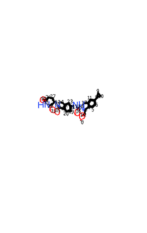 COCC1c2ccc(C3CC3)cc2CN1C(=O)Nc1ccc2c(c1)CN(C1CCC(=O)NC1=O)C2=O